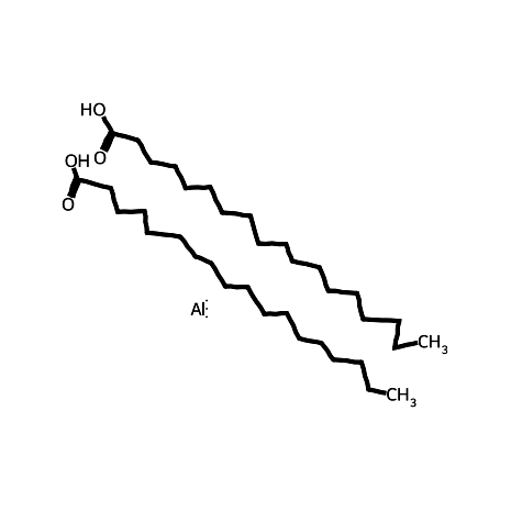 CCCCCCCCCCCCCCCCCC(=O)O.CCCCCCCCCCCCCCCCCC(=O)O.[Al]